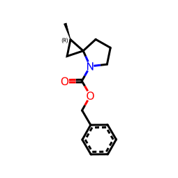 C[C@@H]1CC12CCCN2C(=O)OCc1ccccc1